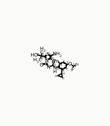 CC(C)c1cc(OC(F)F)cc(C2CC2)c1NC(N=S=O)Oc1nc(C(C)(C)O)sc1N